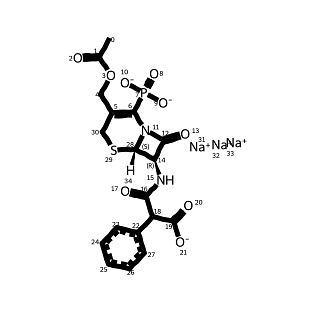 CC(=O)OCC1=C(P(=O)([O-])[O-])N2C(=O)[C@@H](NC(=O)C(C(=O)[O-])c3ccccc3)[C@@H]2SC1.[Na+].[Na+].[Na+]